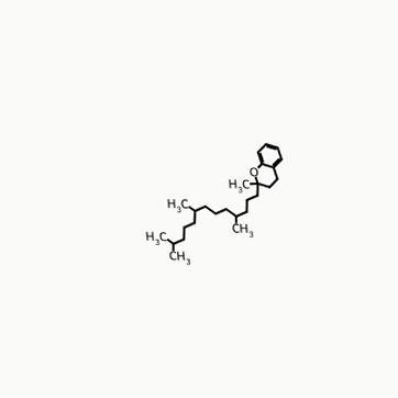 CC(C)CCCC(C)CCCC(C)CCCC1(C)CCc2ccccc2O1